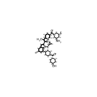 Cc1c(-c2cc3cc(F)cc(C4CCN(C(=O)[C@H]5CC[C@H](O)CC5)CC4)c3n2CC2CC2)nn2cc(C(=O)N3C[C@H](N)C[C@@H](F)C3)ccc12